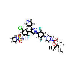 CC(C)(C)OC(=O)N1CCN(c2cc(F)c(-n3cc(-c4cc(Cl)cc(NS(=O)(=O)N5CCCC5)c4F)c(-c4ccncc4)n3)cc2F)CC1